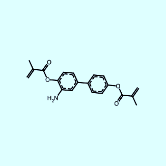 C=C(C)C(=O)Oc1ccc(-c2ccc(OC(=O)C(=C)C)c(N)c2)cc1